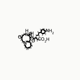 Nc1ccc(CCC[C@H](CC(=O)O)C(=O)NC2Cc3ccccccn(c3)CCC(=O)CCNC2=O)cc1